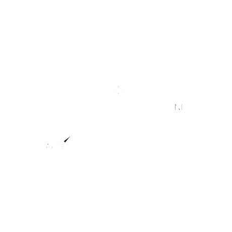 CC(=O)O[C@H]1CC[C@H](OC2CCNCC2)CC1